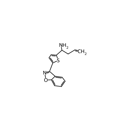 C=CCC(N)c1ccc(-c2noc3ccccc23)s1